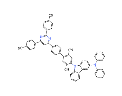 N#Cc1ccc(-c2cc(-c3ccc(-c4cc(C#N)c(-n5c6ccccc6c6cc(N(c7ccccc7)c7ccccc7)ccc65)cc4C#N)cc3)nc(-c3ccc(C#N)cc3)n2)cc1